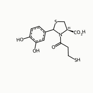 O=C(O)[C@@H]1CSC(c2ccc(O)c(O)c2)N1C(=O)CCS